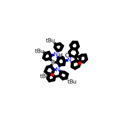 CC(C)(C)c1cccc(N2c3cc(C(C)(C)C)ccc3B3c4ccc(C(C)(C)C)cc4N(c4ccc(C(C)(C)C)cc4-c4ccccc4)c4cc(N5c6ccccc6C6(c7ccccc7)Cc7ccccc7CC56C)cc2c43)c1